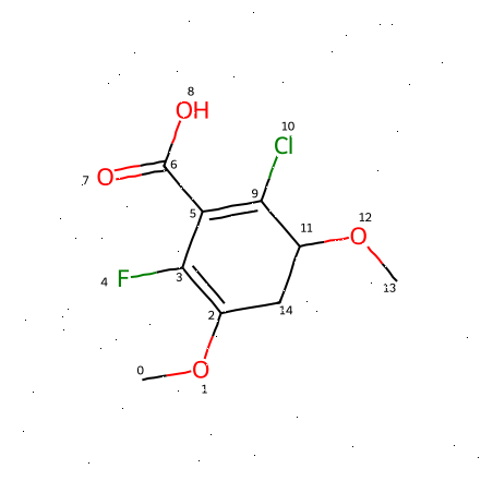 COC1=C(F)C(C(=O)O)=C(Cl)C(OC)C1